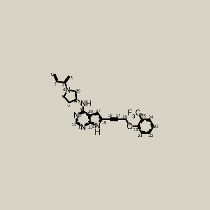 C=CC(=C)N1CC[C@@H](Nc2ncnc3[nH]c(C#CCOc4ccccc4C(F)(F)F)cc23)C1